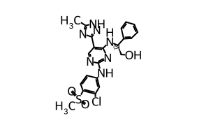 Cc1nc(-c2cnc(Nc3ccc(S(C)(=O)=O)c(Cl)c3)nc2N[C@H](CO)c2ccccc2)n[nH]1